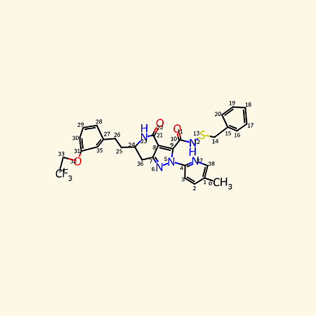 Cc1ccc(-n2nc3c(c2C(=O)NSCc2ccccc2)C(=O)NC(CCc2cccc(OCC(F)(F)F)c2)C3)nc1